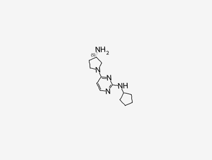 N[C@H]1CCN(c2ccnc(NC3CCCC3)n2)C1